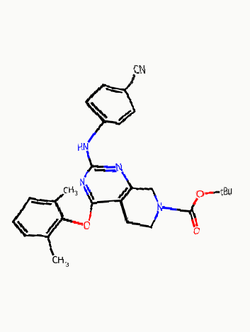 Cc1cccc(C)c1Oc1nc(Nc2ccc(C#N)cc2)nc2c1CCN(C(=O)OC(C)(C)C)C2